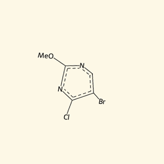 COc1ncc(Br)c(Cl)n1